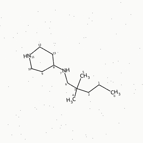 CCCC(C)(C)CNC1CCNCC1